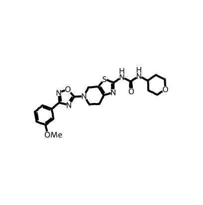 COc1cccc(-c2noc(N3CCc4nc(NC(=O)NC5CCOCC5)sc4C3)n2)c1